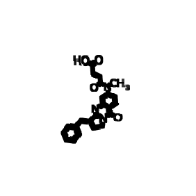 CN(C(=O)/C=C/C(=O)O)c1ccc2c(=O)n3c(nc2c1)C(=Cc1ccccc1)CC3